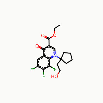 CCOC(=O)c1cn(C2(CCO)CCCC2)c2c(F)c(F)c(F)cc2c1=O